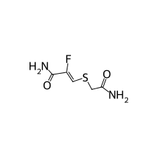 NC(=O)CSC=C(F)C(N)=O